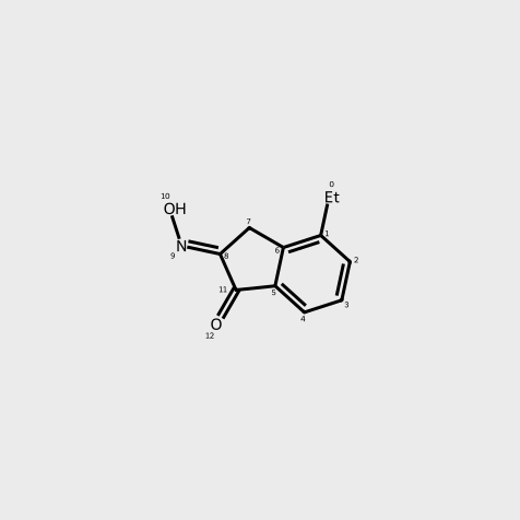 CCc1cccc2c1CC(=NO)C2=O